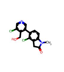 CN1C(=O)Cc2c1ccc(-c1cncc(Cl)c1CO)c2Cl